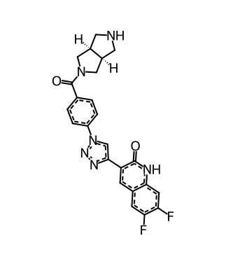 O=C(c1ccc(-n2cc(-c3cc4cc(F)c(F)cc4[nH]c3=O)nn2)cc1)N1C[C@H]2CNC[C@H]2C1